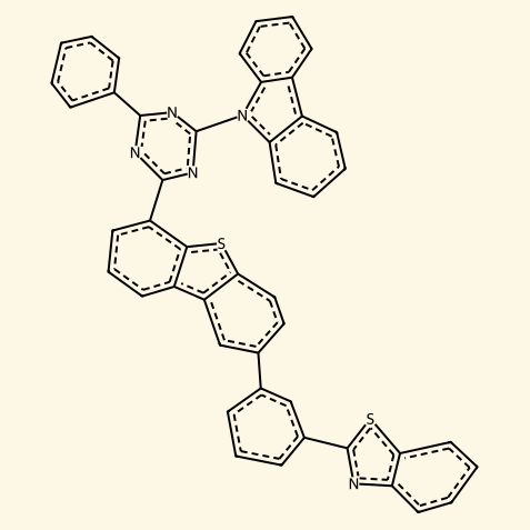 c1ccc(-c2nc(-c3cccc4c3sc3ccc(-c5cccc(-c6nc7ccccc7s6)c5)cc34)nc(-n3c4ccccc4c4ccccc43)n2)cc1